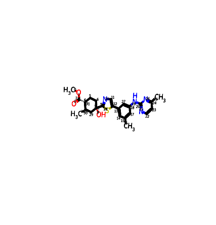 COC(=O)[C@@H]1CC[C@](O)(c2ncc(-c3cc(C)cc(Nc4nccc(C)n4)c3)s2)C[C@H]1C